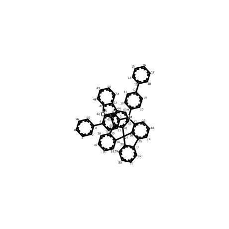 c1ccc(-c2ccc(N(c3ccc(-c4ccccc4)cc3)c3cccc4c3C3(c5ccccc5-4)c4ccccc4-c4c3ccc3c4oc4ccccc43)cc2)cc1